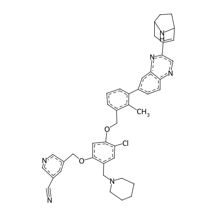 Cc1c(COc2cc(OCc3cncc(C#N)c3)c(CN3CCCCC3)cc2Cl)cccc1-c1ccc2ncc(C3=CC4CCC(C3)N4)nc2c1